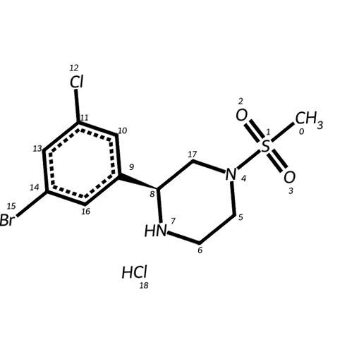 CS(=O)(=O)N1CCN[C@@H](c2cc(Cl)cc(Br)c2)C1.Cl